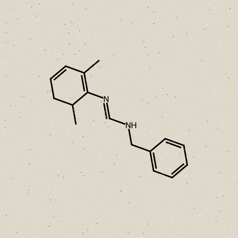 CC1=C(/N=C/NCc2ccccc2)C(C)CC=C1